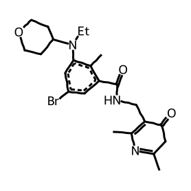 CCN(c1cc(Br)cc(C(=O)NCC2=C(C)N=C(C)CC2=O)c1C)C1CCOCC1